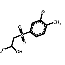 Cc1ccc(S(=O)(=O)CC(C)O)cc1Br